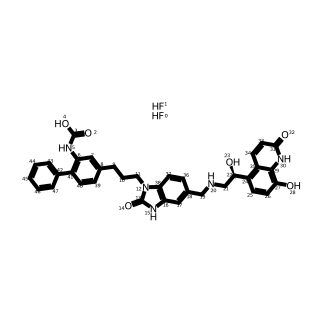 F.F.O=C(O)Nc1cc(CCCn2c(=O)[nH]c3cc(CNC[C@@H](O)c4ccc(O)c5[nH]c(=O)ccc45)ccc32)ccc1-c1ccccc1